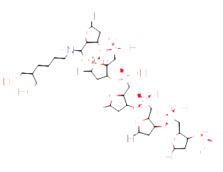 [3H]C1CC(O[PH](=O)O)C(CP(=O)(O)OC2CC([3H])OC2CP(=O)(O)OC2CC([3H])OC2CP(=O)(O)OC2CC([3H])OC2CP(=O)(O)OC2CC([3H])OC2C(NCCCCC(CO)CO)OC)O1